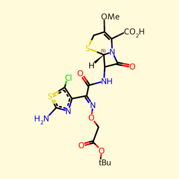 COC1=C(C(=O)O)N2C(=O)C(NC(=O)C(=NOCC(=O)OC(C)(C)C)c3nc(N)sc3Cl)[C@@H]2SC1